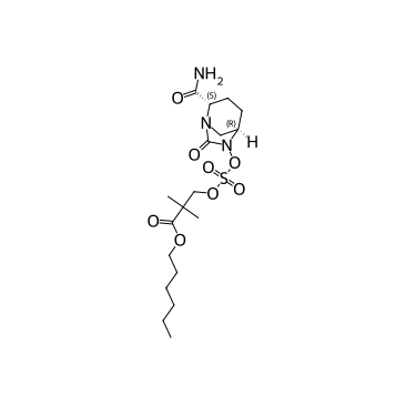 CCCCCCOC(=O)C(C)(C)COS(=O)(=O)ON1C(=O)N2C[C@H]1CC[C@H]2C(N)=O